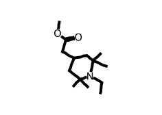 CCN1C(C)(C)CC(CC(=O)OC)CC1(C)C